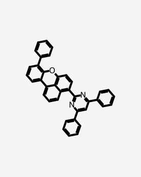 c1ccc(-c2cc(-c3ccccc3)nc(-c3ccc4c5c(cccc35)-c3cccc(-c5ccccc5)c3O4)n2)cc1